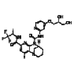 Cc1cc(C(=O)NC(C)C(F)(F)F)nc2c1N1CCC[C@@H](C1)N2C(=O)Nc1cc(OCC(O)CO)ccn1